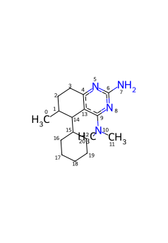 CC1CCc2nc(N)nc(N(C)C)c2C1C1CCCCC1